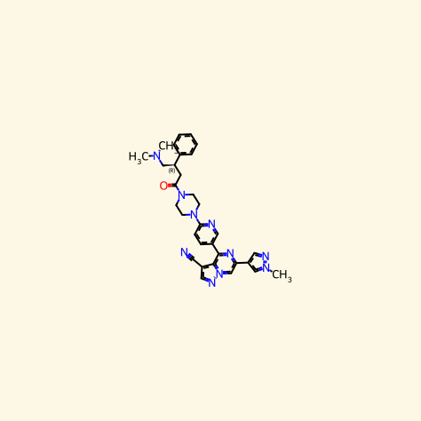 CN(C)C[C@H](CC(=O)N1CCN(c2ccc(-c3nc(-c4cnn(C)c4)cn4ncc(C#N)c34)cn2)CC1)c1ccccc1